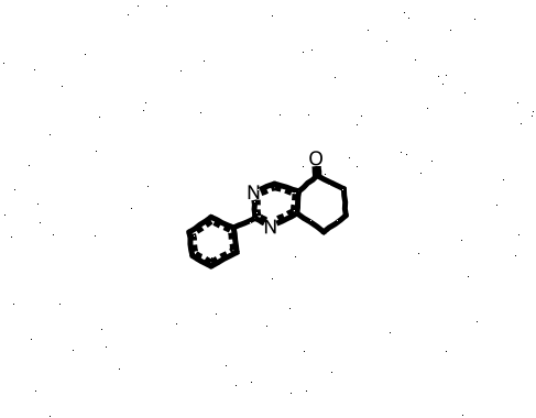 O=C1CCCc2nc(-c3ccccc3)ncc21